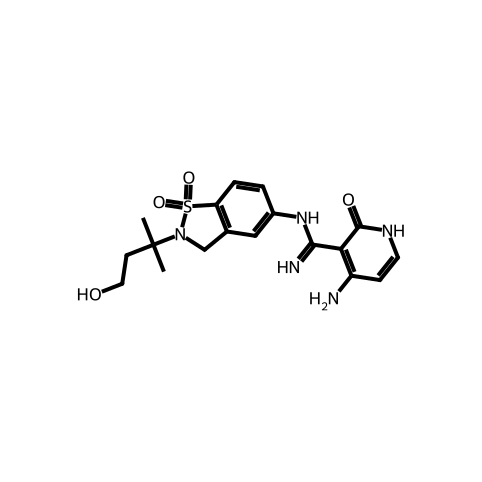 CC(C)(CCO)N1Cc2cc(NC(=N)c3c(N)cc[nH]c3=O)ccc2S1(=O)=O